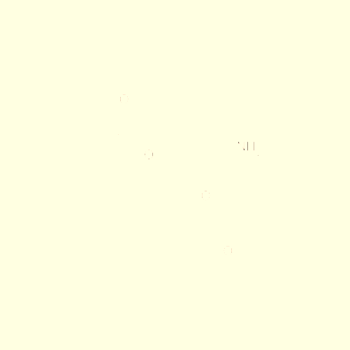 CC(=O)OCC(N)OC=O